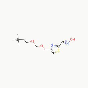 C[Si](C)(C)CCOCOCc1csc(/C=N/O)n1